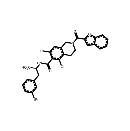 CC(C)c1cccc(C[C@H](NC(=O)c2c(Cl)cc3c(c2Cl)CCN(C(=O)c2cc4ccccc4o2)C3)C(=O)O)c1